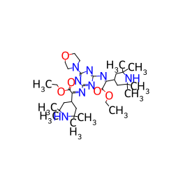 CCOC(=O)C(=Nc1nc(N=C(C(=O)OCC)C2CC(C)(C)NC(C)(C)C2)nc(N2CCOCC2)n1)C1CC(C)(C)NC(C)(C)C1